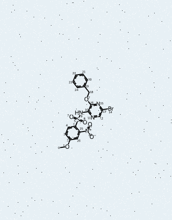 COc1ccc(S(=O)(=O)Nc2ncc(Br)nc2OCc2ccccc2)c([N+](=O)[O-])c1